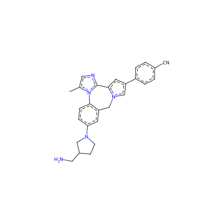 Cc1cnc2n1-c1ccc(N3CCC(CN)C3)cc1Cn1cc(-c3ccc(C#N)cc3)cc1-2